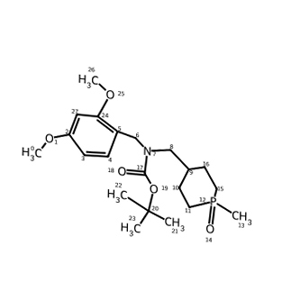 COc1ccc(CN(CC2CCP(C)(=O)CC2)C(=O)OC(C)(C)C)c(OC)c1